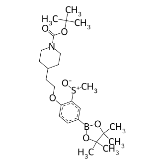 C[S+]([O-])c1cc(B2OC(C)(C)C(C)(C)O2)ccc1OCCC1CCN(C(=O)OC(C)(C)C)CC1